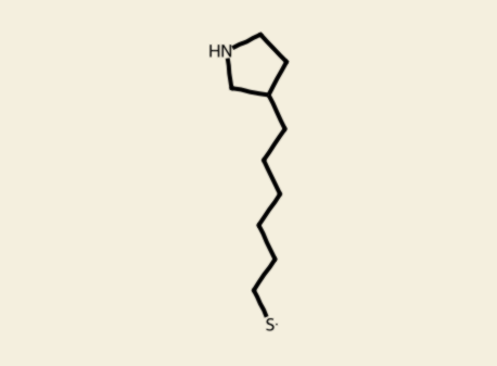 [S]CCCCCCC1CCNC1